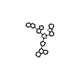 c1ccc2cc(-c3ccc(-c4nc(-c5ccc(-c6cc7ccccc7c7ccccc67)cc5)nc(-c5cccc6c5oc5ccccc56)n4)c4ccccc34)ccc2c1